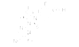 CC1(C)C(=O)N(c2ncc(C#N)c(C(F)(F)F)n2)C(=S)N1c1ccc(C(=O)O)c(F)c1